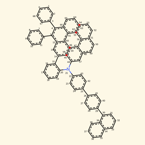 c1ccc(-c2c(-c3ccccc3)c3cc(-c4ccccc4N(c4ccc(-c5ccc(-c6cccc7ccccc67)cc5)cc4)c4ccc5c(ccc6ccccc65)c4)ccc3c3ccccc23)cc1